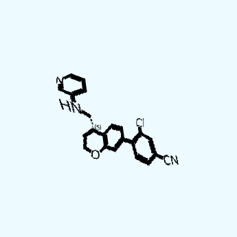 N#Cc1ccc(-c2ccc3c(c2)OCC[C@@H]3CNc2cccnc2)c(Cl)c1